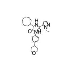 CCn1nccc1C(=O)NC(C(=O)Nc1ccc(C2CCOCC2)cc1)C1CCCCCCC1